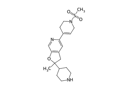 CC1(C2CCNCC2)Cc2cc(C3=CCN(S(C)(=O)=O)CC3)ncc2O1